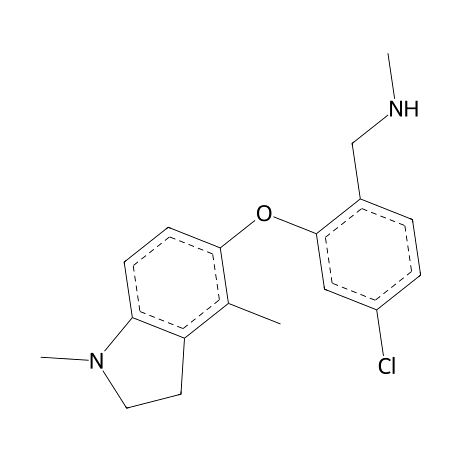 CNCc1ccc(Cl)cc1Oc1ccc2c(c1C)CCN2C